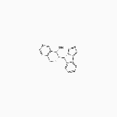 O[C@H]1c2cnccc2CC[C@H]1[C@H]1c2ccccc2-c2cncn21